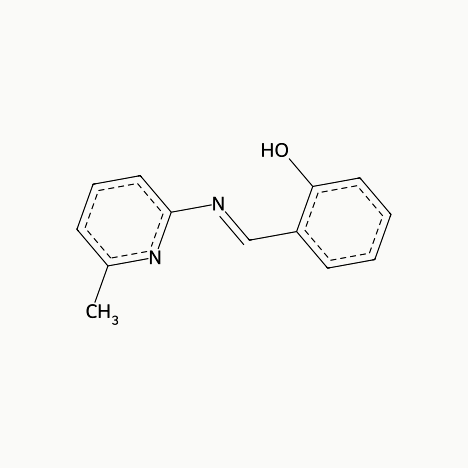 Cc1cccc(N=Cc2ccccc2O)n1